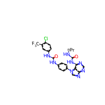 CCCNC(=O)Nc1ncnc2ncn(-c3ccc(NC(=O)Nc4ccc(Cl)c(C(F)(F)F)c4)cc3)c12